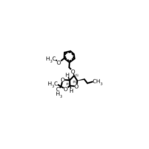 CCC[C@H]1O[C@@H]2OC(C)(C)O[C@@H]2[C@H]1OCc1ccccc1OC